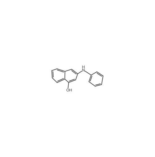 Oc1cc(Nc2ccccc2)cc2ccccc12